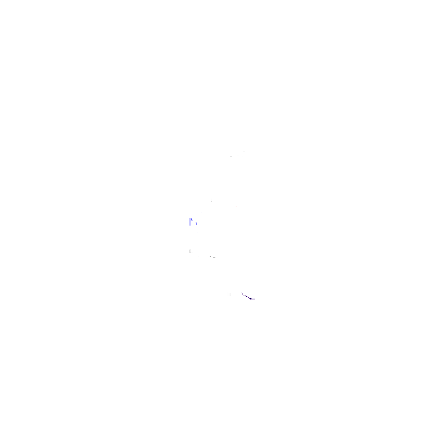 CC(C)(C)OC(=O)N[C@H]1CC[C@H](I)C1